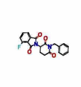 O=C1CCC(N2C(=O)c3cccc(F)c3C2=O)C(=O)N1Cc1ccccc1